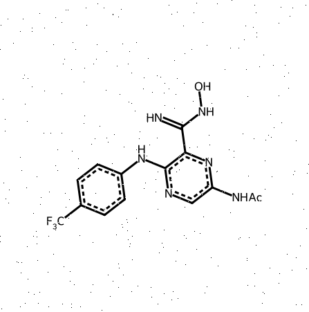 CC(=O)Nc1cnc(Nc2ccc(C(F)(F)F)cc2)c(C(=N)NO)n1